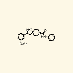 COc1cccc(C2=NOC3(CCN(C(=O)Nc4ccccc4)CC3)C2)c1